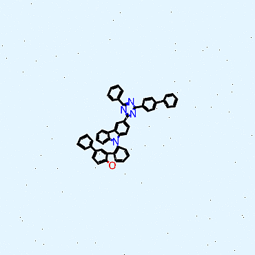 c1ccc(-c2ccc(-c3nc(-c4ccccc4)nc(-c4ccc5c(c4)c4ccccc4n5-c4cccc5oc6ccc(-c7ccccc7)cc6c45)n3)cc2)cc1